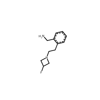 NCc1ccccc1CCN1CC(F)C1